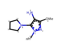 CCCn1nc(OC)c(N)c1N1CCCC1